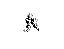 COc1ccc(-c2cc3ncc(C(N)=O)c(N[C@@H]4CCN(c5ccc(C#N)nn5)CC4(C)C)n3n2)cn1